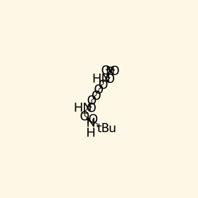 CC(C)(C)CCC(C)(C)C(=O)NC(C)(C)CCOC(C)(C)CCNC(=O)CCOCCOCCOCCOCCNC(=O)CCN1C(=O)C=CC1=O